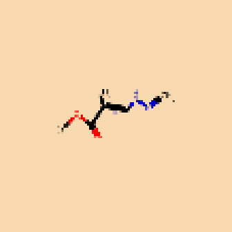 C=NN/C=C(\C)C(=O)OCC